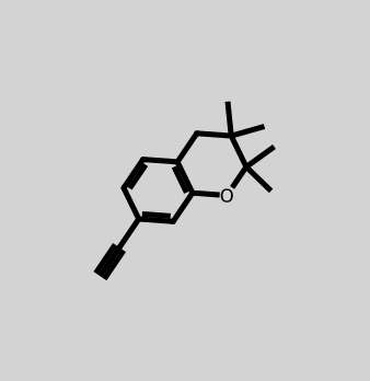 C#Cc1ccc2c(c1)OC(C)(C)C(C)(C)C2